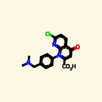 CN(C)Cc1ccc(-n2c(C(=O)O)cc(=O)c3ccc(Cl)nc32)cc1